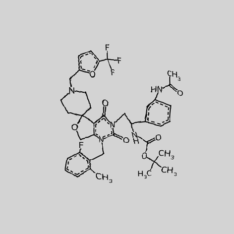 CC(=O)Nc1cccc(C(Cn2c(=O)c3c(n(Cc4c(C)cccc4F)c2=O)COC32CCN(Cc3ccc(C(F)(F)F)o3)CC2)NC(=O)OC(C)(C)C)c1